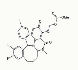 COC(=O)OCOc1c2n(ccc1=O)N1C(c3ccc(F)cc3)c3cc(F)c(F)cc3CCCC1N(C)C2=O